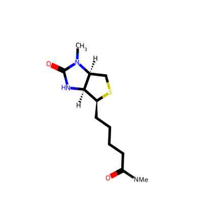 CNC(=O)CCCC[C@@H]1SC[C@H]2[C@@H]1NC(=O)N2C